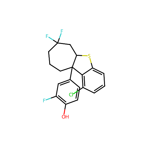 Oc1ccc(C23CCCC(F)(F)CC2Sc2cccc(Cl)c23)cc1F